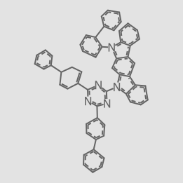 C1=CC(c2ccccc2)CC=C1c1nc(-c2ccc(-c3ccccc3)cc2)nc(-n2c3ccccc3c3cc4c5ccccc5n(-c5ccccc5-c5ccccc5)c4cc32)n1